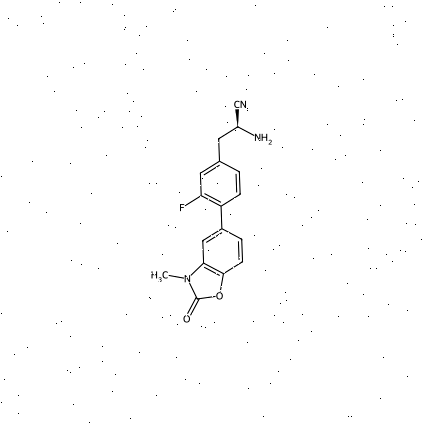 Cn1c(=O)oc2ccc(-c3ccc(C[C@H](N)C#N)cc3F)cc21